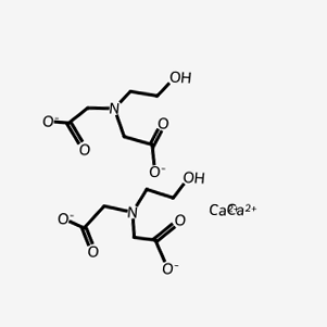 O=C([O-])CN(CCO)CC(=O)[O-].O=C([O-])CN(CCO)CC(=O)[O-].[Ca+2].[Ca+2]